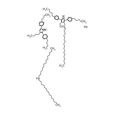 CCCCC1=C(c2ccc(CCCC)cc2)[N+](=[N-])C(c2ccc(CCCC)cc2)=C1.CCCCCCCCCCCCCCCCCCCCC1=C(c2ccc(CCCCC)cc2)[N+](=[N-])C(c2ccc(CCCCC)cc2)=C1CC.CCCCCCCCCCCCCC[CH2][Pd][CH2]CCCCCCCCCCCCCC.[Pd]